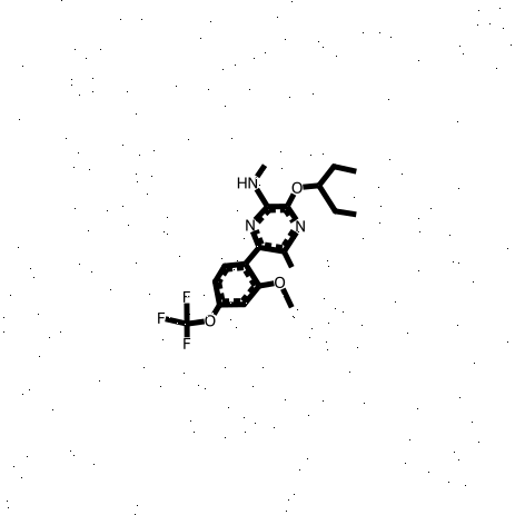 CCC(CC)Oc1nc(C)c(-c2ccc(OC(F)(F)F)cc2OC)nc1NC